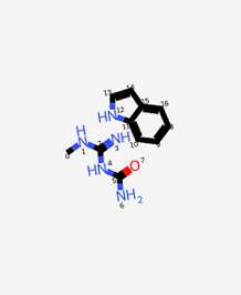 CNC(=N)NC(N)=O.c1ccc2[nH]ccc2c1